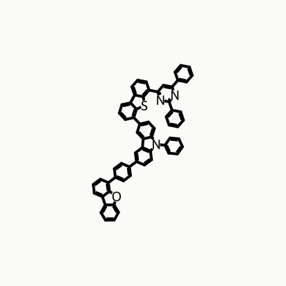 c1ccc(-c2cc(-c3cccc4c3sc3c(-c5ccc6c(c5)c5cc(-c7ccc(-c8cccc9c8oc8ccccc89)cc7)ccc5n6-c5ccccc5)cccc34)nc(-c3ccccc3)n2)cc1